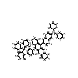 c1ccc(N(c2ccccc2)c2ccc3cc(-c4c5ccccc5c(-c5ccc6c(c5)C(c5ccccc5)(c5ccccc5)c5ccccc5-6)c5cc6ccccc6cc45)ccc3c2)cc1